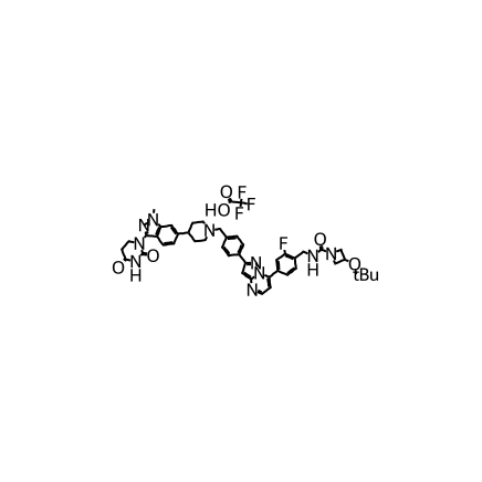 Cn1nc(N2CCC(=O)NC2=O)c2ccc(C3CCN(Cc4ccc(-c5cc6nccc(-c7ccc(CNC(=O)N8CC(OC(C)(C)C)C8)c(F)c7)n6n5)cc4)CC3)cc21.O=C(O)C(F)(F)F